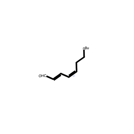 CCCCCC/C=C\C=CC=O